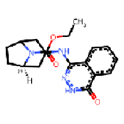 CCOC(=O)N1C2CC[C@@H]1CC(Nc1n[nH]c(=O)c3ccccc13)C2